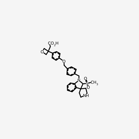 CS(=O)(=O)C1N(Cc2ccc(COc3ccc(C4(CC(=O)O)COC4)cc3)cc2)c2ccccc2C12CCNCC2